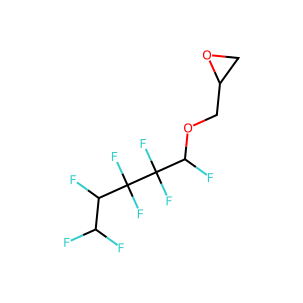 FC(F)C(F)C(F)(F)C(F)(F)C(F)OCC1CO1